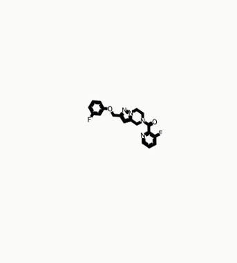 O=C(c1ncccc1F)N1CCn2nc(COc3cccc(F)c3)cc2C1